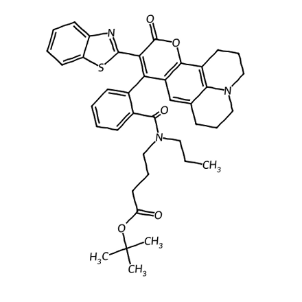 CCCN(CCCC(=O)OC(C)(C)C)C(=O)c1ccccc1-c1c(-c2nc3ccccc3s2)c(=O)oc2c3c4c(cc12)CCCN4CCC3